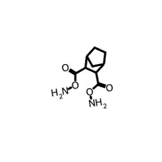 NOC(=O)C1C2CCC(C2)C1C(=O)ON